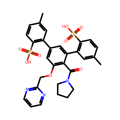 Cc1ccc(S(=O)(=O)O)c(-c2cc(OCc3ncccn3)c(C(=O)N3CCCC3)c(-c3cc(C)ccc3S(=O)(=O)O)c2)c1